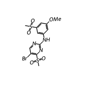 COc1cc(Nc2ncc(Br)c(S(C)(=O)=O)n2)cc(S(C)(=O)=O)c1